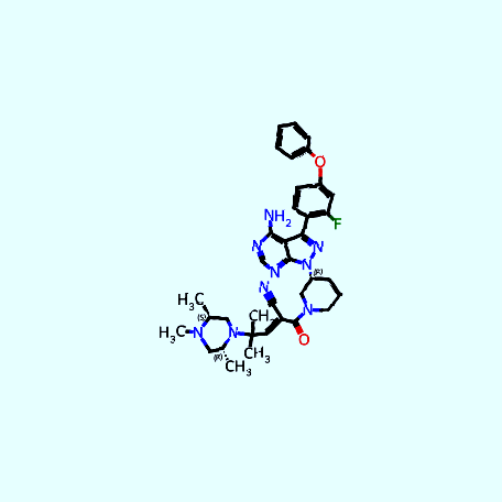 C[C@@H]1CN(C)[C@@H](C)CN1C(C)(C)C=C(C#N)C(=O)N1CCC[C@@H](n2nc(-c3ccc(Oc4ccccc4)cc3F)c3c(N)ncnc32)C1